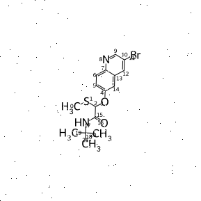 CSC(Oc1ccc2ncc(Br)cc2c1)C(=O)NC(C)(C)C